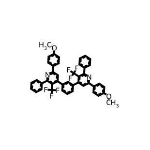 COc1ccc(-c2cc(-c3cccc(-c4cc(-c5ccc(OC)cc5)nc(-c5ccccc5)c4C(F)(F)F)c3)c(C(F)(F)F)c(-c3ccccc3)n2)cc1